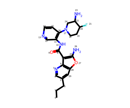 CCCc1cnc2c(C(=O)Nc3cnccc3N3CCC(F)C(N)C3)c(N)oc2c1